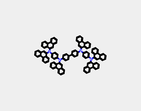 c1ccc2c(c1)cc(N(c1ccc(-c3ccc(N(c4ccc(N(c5cc6ccccc6c6ccccc56)c5cc6ccccc6c6ccccc56)cc4)c4cc5ccccc5c5ccccc45)cc3)cc1)c1ccc(N(c3cc4ccccc4c4ccccc34)c3cc4ccccc4c4ccccc34)cc1)c1ccccc12